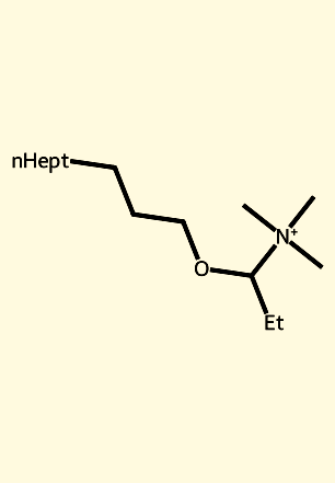 CCCCCCCCCCOC(CC)[N+](C)(C)C